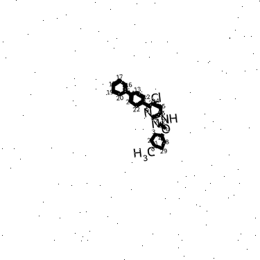 CC1CCC(Oc2nc3nc(-c4ccc(-c5ccccc5)cc4)c(Cl)cc3[nH]2)CC1